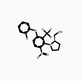 O=[N+]([O-])c1ccc(Oc2ccccc2F)c(C(F)(F)F)c1N1CCC[C@@H]1CO